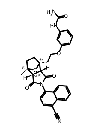 C[C@]12CC[C@](CCOc3cccc(NC(N)=O)c3)(O1)[C@@H]1C(=O)N(c3ccc(C#N)c4ccccc34)C(=O)[C@@H]12